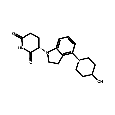 O=C1CC[C@H](N2CCc3c(N4CCC(O)CC4)cccc32)C(=O)N1